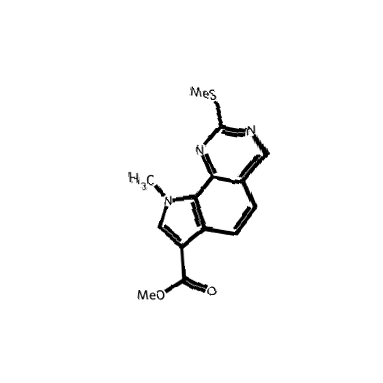 COC(=O)c1cn(C)c2c1ccc1cnc(SC)nc12